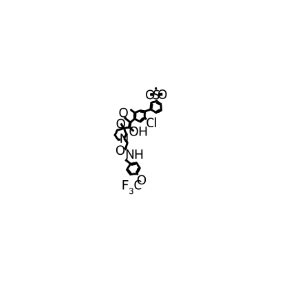 Cc1cc(-c2cccc(S(C)(=O)=O)c2)c(Cl)cc1C1=C(O)C2(CCCN(CC(=O)NCc3ccc(OC(F)(F)F)cc3)C2)OC1=O